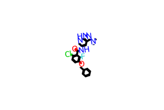 CN(C)c1n[nH]c2ncc(NC(=O)c3c(Cl)ccc(OCc4ccccc4)c3F)cc12